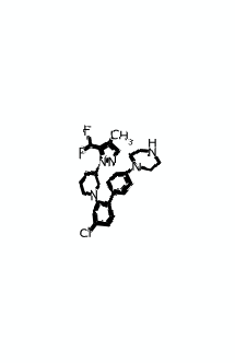 Cc1cnn(C2CCCN(c3cc(Cl)ccc3-c3ccc(N4CCNCC4)cc3)C2)c1C(F)F